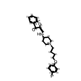 O=C1C(=CNC2CCN(CCCCOc3ccc(F)cc3)CC2)Oc2ccccc21